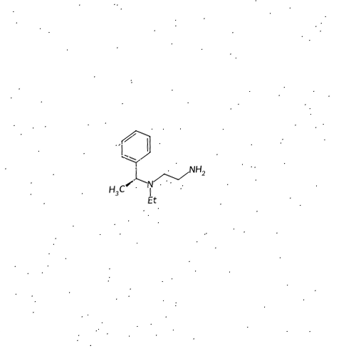 CCN(CCN)[C@@H](C)c1ccccc1